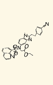 CCOC(=O)CN(c1ccc2c(c1)nc(CCc1ccc(C#N)cc1)n2C)S(=O)(=O)c1cccc2cccnc12